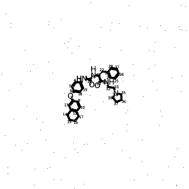 O=C(Nc1ccc(Oc2ccc3c(c2)CCCC3)cc1)N[C@@H](Cc1ccccc1)C(=O)NCCN1CCCC1